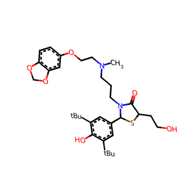 CN(CCCN1C(=O)C(CCO)SC1c1cc(C(C)(C)C)c(O)c(C(C)(C)C)c1)CCOc1ccc2c(c1)OCO2